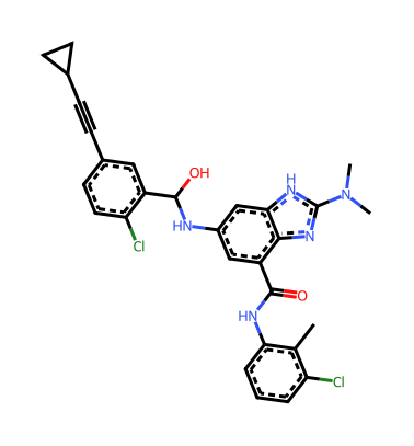 Cc1c(Cl)cccc1NC(=O)c1cc(NC(O)c2cc(C#CC3CC3)ccc2Cl)cc2[nH]c(N(C)C)nc12